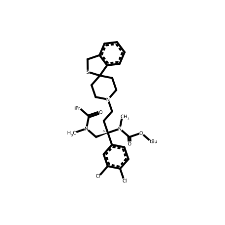 CC(C)C(=O)N(C)C[C@](CCN1CCC2(CC1)SCc1ccccc12)(c1ccc(Cl)c(Cl)c1)N(C)C(=O)OC(C)(C)C